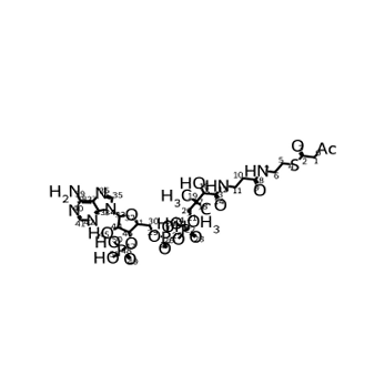 CC(=O)CC(=O)SCCNC(=O)CCNC(=O)C(O)C(C)(C)COP(=O)(O)OP(=O)(O)OCC1OC(n2cnc3c(N)ncnc32)C(O)C1OP(=O)(O)O